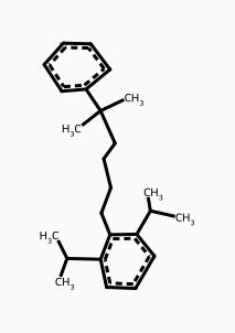 CC(C)c1cccc(C(C)C)c1CCCCC(C)(C)c1cc[c]cc1